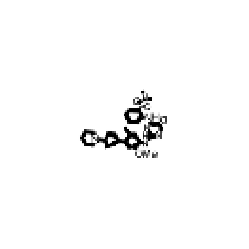 COc1cc(-c2ccc(N3CCCCC3)cc2)c(C)cc1Nc1ncc(Cl)c(Nc2ccccc2S(=O)(=O)N(C)C)n1